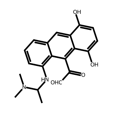 CC(Nc1cccc2cc3c(O)ccc(O)c3c(C(=O)C=O)c12)N(C)C